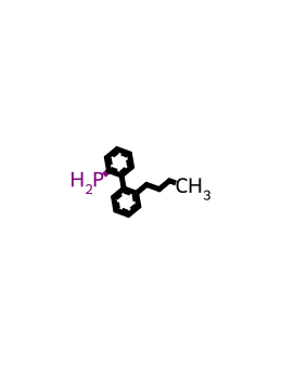 CCCCc1ccccc1-c1ccccc1P